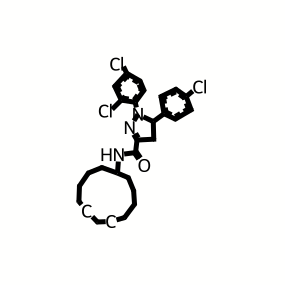 O=C(NC1CCCCCCCCCCC1)C1=NN(c2ccc(Cl)cc2Cl)C(c2ccc(Cl)cc2)C1